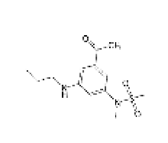 CCCNc1cc(C(=O)O)cc(N(C)S(C)(=O)=O)c1